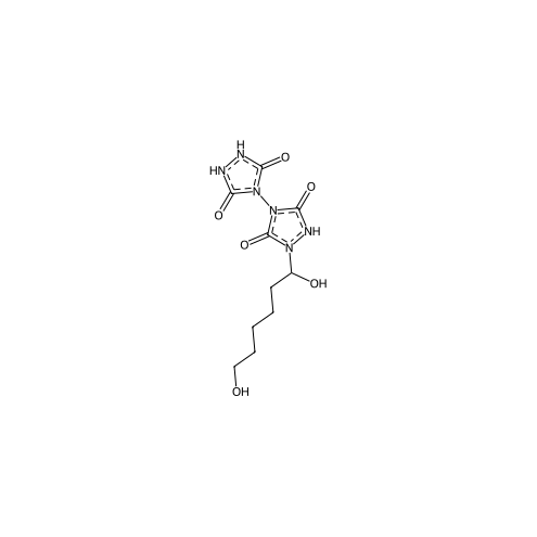 O=c1[nH][nH]c(=O)n1-n1c(=O)[nH]n(C(O)CCCCCO)c1=O